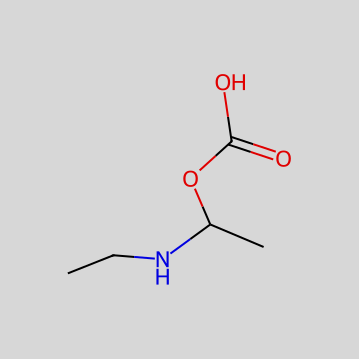 CCNC(C)OC(=O)O